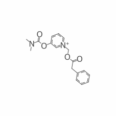 CN(C)C(=O)Oc1ccc[n+](COC(=O)Cc2ccccc2)c1